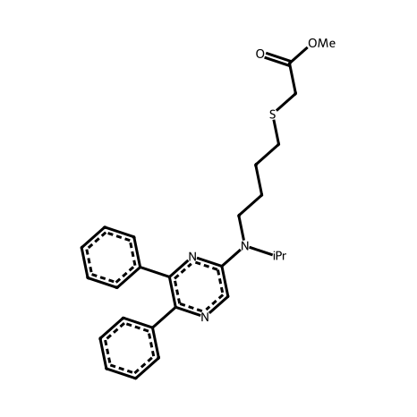 COC(=O)CSCCCCN(c1cnc(-c2ccccc2)c(-c2ccccc2)n1)C(C)C